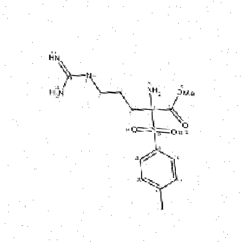 COC(=O)C(N)(CCCNC(=N)N)S(=O)(=O)c1ccc(C)cc1